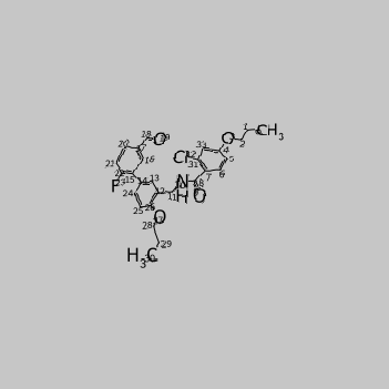 CCCOc1ccc(C(=O)NCc2cc(-c3cc(C=O)ccc3F)ccc2OCCC)c(Cl)c1